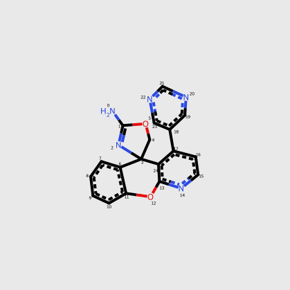 NC1=NC2(CO1)c1ccccc1Oc1nccc(-c3cncnc3)c12